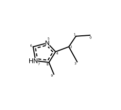 CCC(C)c1nc[nH]c1C